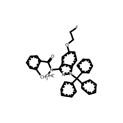 Cc1ccccc1C(=O)N(C=O)c1nn(C(c2ccccc2)(c2ccccc2)c2ccccc2)c2ccc(OCCF)cc12